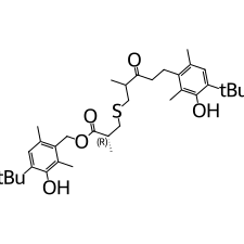 Cc1cc(C(C)(C)C)c(O)c(C)c1CCC(=O)C(C)CSC[C@H](C)C(=O)OCc1c(C)cc(C(C)(C)C)c(O)c1C